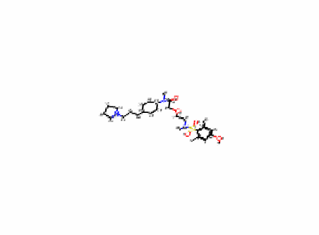 COc1cc(C)c(S(=O)(=O)N(C)CCOCC(=O)N(C)C2CCC(CCCN3CCCC3)CC2)c(C)c1